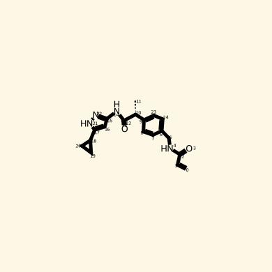 C=CC(=O)NCc1ccc([C@@H](C)C(=O)Nc2cc(C3CC3)[nH]n2)cc1